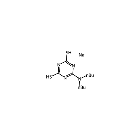 CCCCN(CCCC)c1nc(S)nc(S)n1.[Na]